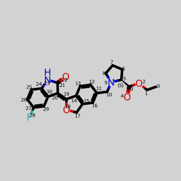 CCOC(=O)[C@@H]1CCCN1Cc1ccc2c(c1)COC2=C1C(=O)Nc2ccc(F)cc21